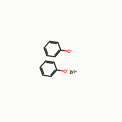 [O-]c1ccccc1.[O-]c1ccccc1.[Zr+2]